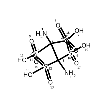 NC(C(N)(S(=O)(=O)O)S(=O)(=O)O)(S(=O)(=O)O)S(=O)(=O)O